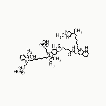 Cc1ncc(C(C)CCCCCCc2nc3c(cc2CNC(=O)CCCN(C)Cc2ccc4c(c2)C(C)(C)C(/C=C/C=C/C=C/C=C2/N(CCCS(=O)(=O)O)c5ccccc5C2(C)C)=[N+]4CCCS(=O)(=O)O)CCCN3)cn1